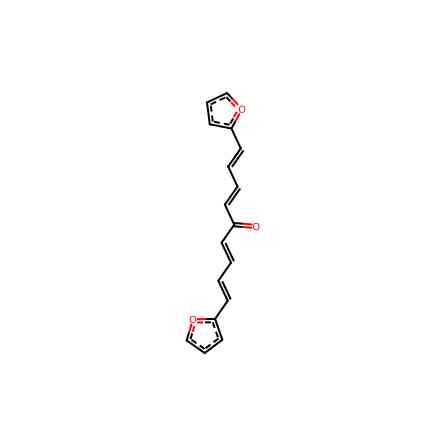 O=C(C=CC=Cc1ccco1)C=CC=Cc1ccco1